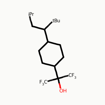 CC(C)CC(C1CCC(C(O)(C(F)(F)F)C(F)(F)F)CC1)C(C)(C)C